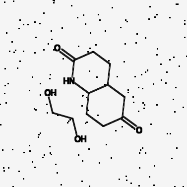 O=C1CCC2NC(=O)CCC2C1.OCCO